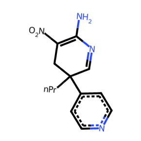 CCCC1(c2ccncc2)C=NC(N)=C([N+](=O)[O-])C1